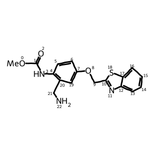 COC(=O)Nc1ccc(OCc2nc3ccccc3s2)cc1CN